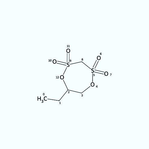 CCC1COS(=O)(=O)CS(=O)(=O)O1